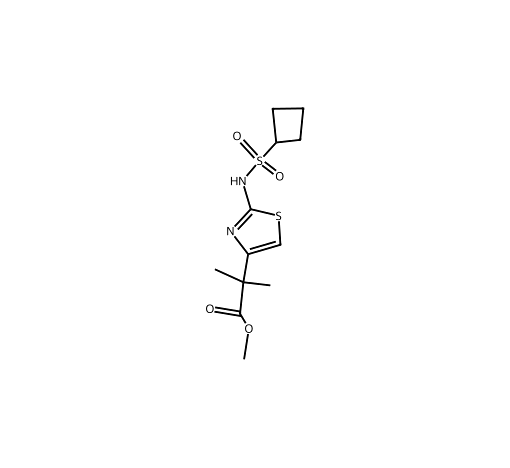 COC(=O)C(C)(C)c1csc(NS(=O)(=O)C2CCC2)n1